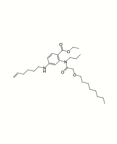 C=CCCCCNc1ccc(C(=O)OCC)c(N(CCC)C(=O)COCCCCCCCC)c1